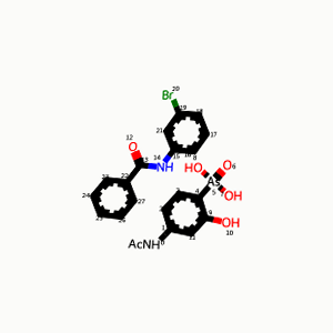 CC(=O)Nc1ccc([As](=O)(O)O)c(O)c1.O=C(Nc1cccc(Br)c1)c1ccccc1